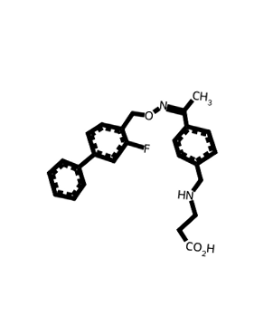 CC(=NOCc1ccc(-c2ccccc2)cc1F)c1ccc(CNCCC(=O)O)cc1